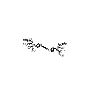 CC(C)(C)OC(=O)N=C(N)N(CCc1ccc(OCCCCCCOc2ccc(CCN(C(=O)OC(C)(C)C)C(N)=NC(=O)OC(C)(C)C)cc2)cc1)C(=O)OC(C)(C)C